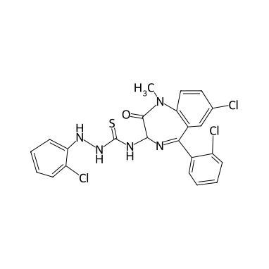 CN1C(=O)C(NC(=S)NNc2ccccc2Cl)N=C(c2ccccc2Cl)c2cc(Cl)ccc21